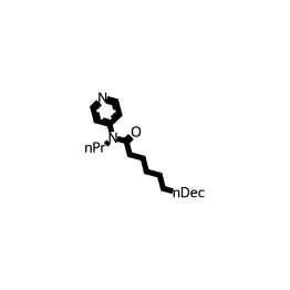 CCCCCCCCCCCCCCCC(=O)N(CCC)c1ccncc1